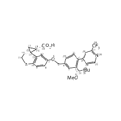 CO[C@H](c1cc(COc2ccc3c(c2)[C@@]2(CCC3)C[C@@H]2C(=O)O)ccc1-c1ccnc(C(F)(F)F)c1)C(C)(C)C